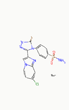 NS(=O)(=O)c1ccc(-n2c(-c3cn4ccc(Cl)cc4n3)n[n-]c2=S)cc1.[Na+]